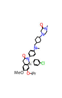 COc1cc2c(cc1OC(C)C)[C@@H](c1ccc(Cl)cc1)N(c1ccc(N(C)CC3CCC(N4CCN(C)C(=O)C4)CC3)cc1)C(=O)C2